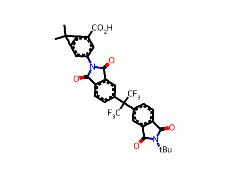 CC1(C)c2cc(N3C(=O)c4ccc(C(c5ccc6c(c5)C(=O)N(C(C)(C)C)C6=O)(C(F)(F)F)C(F)(F)F)cc4C3=O)cc(C(=O)O)c21